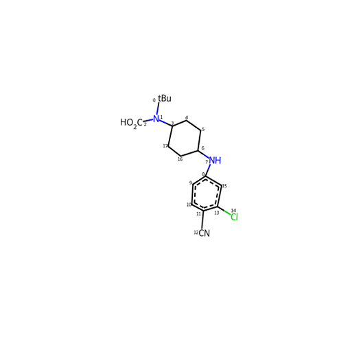 CC(C)(C)N(C(=O)O)C1CCC(Nc2ccc(C#N)c(Cl)c2)CC1